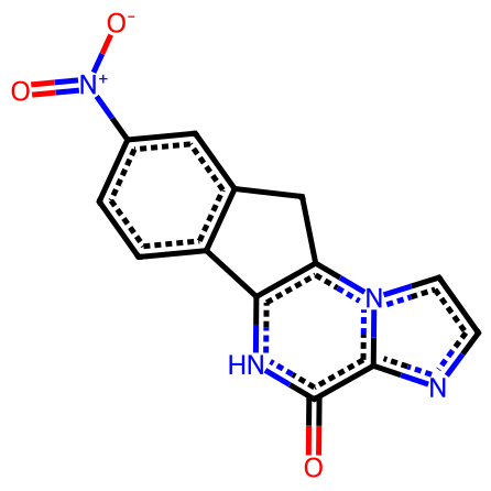 O=c1[nH]c2c(n3ccnc13)Cc1cc([N+](=O)[O-])ccc1-2